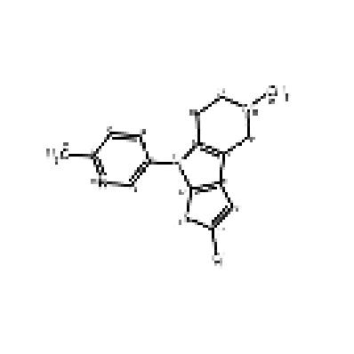 Cc1ccc(-n2c3c(c4cc(Cl)sc42)CN(C)CC3)cn1